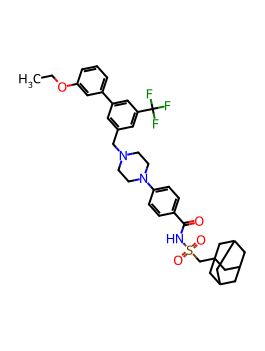 CCOc1cccc(-c2cc(CN3CCN(c4ccc(C(=O)NS(=O)(=O)CC56CC7CC(CC(C7)C5)C6)cc4)CC3)cc(C(F)(F)F)c2)c1